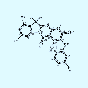 CC1(C)c2c(F)cc(F)cc2-n2c1cc1oc(=O)c(Sc3cccc(F)c3)c(O)c1c2=O